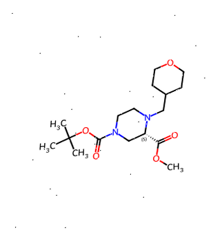 COC(=O)[C@@H]1CN(C(=O)OC(C)(C)C)CCN1CC1CCOCC1